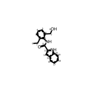 CCc1cccc(CO)c1NC(=O)c1cc2ccccc2[nH]1